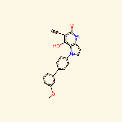 C#Cc1c(O)c2c(ccn2-c2ccc(-c3cccc(OC)c3)cc2)[nH]c1=O